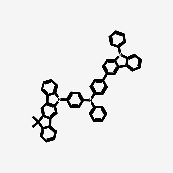 CC1(C)c2ccccc2-c2cc3c(cc21)c1ccccc1n3-c1ccc(N(c2ccccc2)c2ccc(-c3ccc4c(c3)c3ccccc3n4-c3ccccc3)cc2)cc1